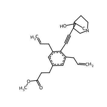 C=CCc1cc(CCC(=O)OC)cc(CC=C)c1C#CC1(O)CN2CCC1CC2